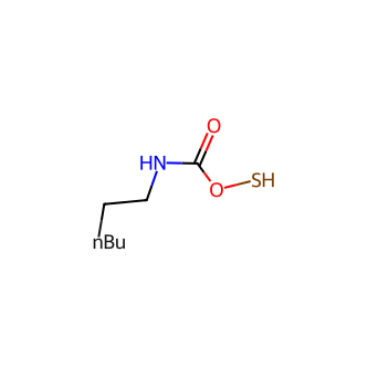 CCCCCCNC(=O)OS